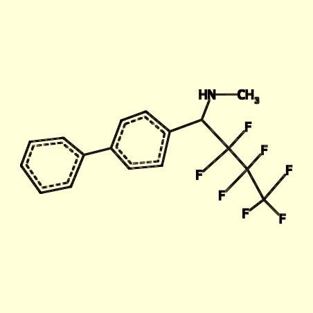 CNC(c1ccc(-c2ccccc2)cc1)C(F)(F)C(F)(F)C(F)(F)F